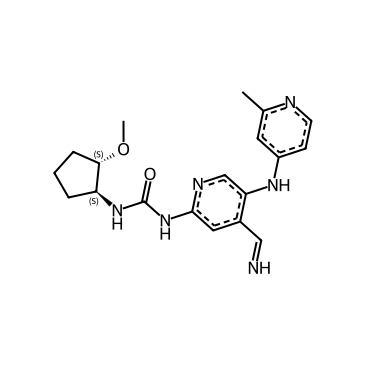 CO[C@H]1CCC[C@@H]1NC(=O)Nc1cc(C=N)c(Nc2ccnc(C)c2)cn1